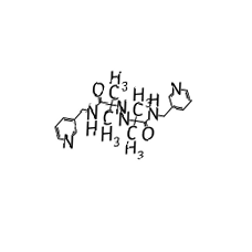 CC(C)(/N=N/C(C)(C)C(=O)NCc1cccnc1)C(=O)NCc1cccnc1